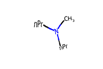 C[CH]CN(C)C[CH]C